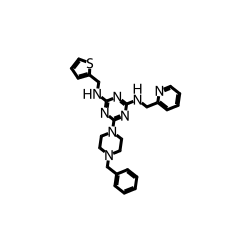 c1ccc(CN2CCN(c3nc(NCc4ccccn4)nc(NCc4cccs4)n3)CC2)cc1